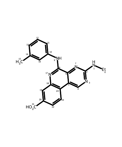 CCNc1ncc2c(n1)c(Nc1cccc(C)c1)nc1cc(C(=O)O)ccc12